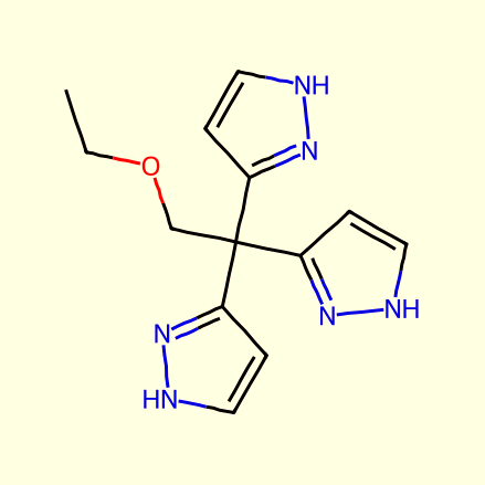 CCOCC(c1cc[nH]n1)(c1cc[nH]n1)c1cc[nH]n1